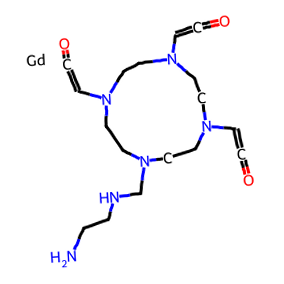 NCCNCN1CCN(C=C=O)CCN(C=C=O)CCN(C=C=O)CC1.[Gd]